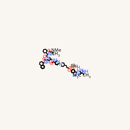 CNC(C)C(=O)NC(C(=O)N1C[C@@H](NC(=O)c2ccc(N3CCC(CCCOc4cc5ncnc(Nc6n[nH]c(C)c6C)c5cc4S(=O)(=O)C(C)(C)C)CC3)nc2)C[C@H]1C(=O)N[C@@H]1CCCc2ccccc21)C1CCCCC1